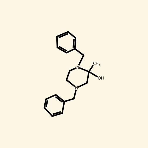 CC1(O)CN(Cc2ccccc2)CCN1Cc1ccccc1